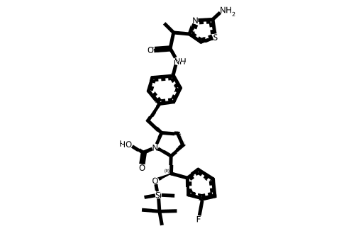 CC(C(=O)Nc1ccc(CC2CCC([C@H](O[Si](C)(C)C(C)(C)C)c3cccc(F)c3)N2C(=O)O)cc1)c1csc(N)n1